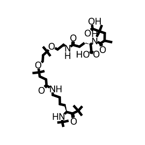 CC(CC(C)(C)C(=O)O)C(=O)N[C@@H](CCC(=O)NCCOC(C)(C)CCOC(C)(C)CCC(=O)NCCCC[C@H](NC(C)(C)C)C(=O)C(C)(C)C)C(=O)O